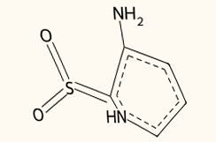 Nc1ccc[nH]c1=S(=O)=O